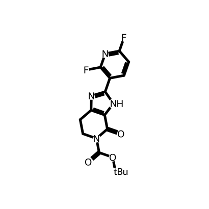 CC(C)(C)OC(=O)N1CCc2nc(-c3ccc(F)nc3F)[nH]c2C1=O